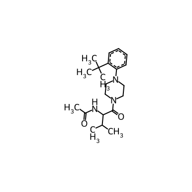 CC(=O)NC(C(=O)N1CCN(c2ccccc2C(C)(C)C)CC1)C(C)C